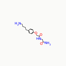 NCCCCc1ccc(OCC(=O)NCC(N)=O)cc1